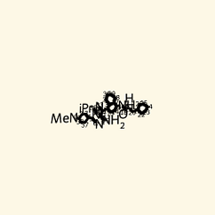 CNC1CC=C(c2cnc(N)c3c(-c4ccc(NC(=O)NCc5ccccc5)c5ccccc45)nc(C(C)C)n23)CC1